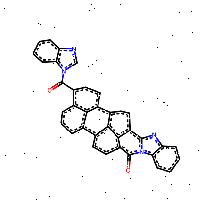 O=C(c1ccc2c3ccc4c5c(ccc(c6cccc1c62)c35)c(=O)n1c2ccccc2nc41)n1cnc2ccccc21